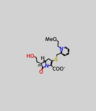 COCC[n+]1ccccc1CSC1=C(C(=O)[O-])N2C(=O)[C@@H](CCO)[C@H]2C1